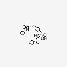 CCc1oc(-c2ccccc2)nc1CCOc1ccc(C[C@H](NC=CC(=O)c2ccccc2)C(=O)O)cc1